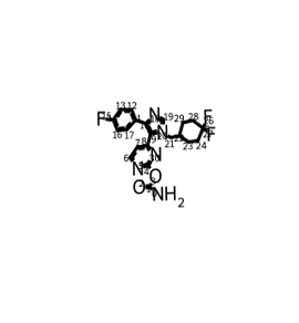 NC(=O)Oc1nccc(-c2c(-c3ccc(F)cc3)ncn2CC2CCC(F)(F)CC2)n1